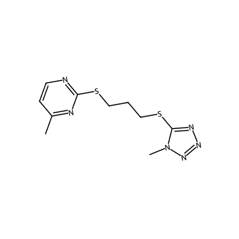 Cc1ccnc(SCCCSc2nnnn2C)n1